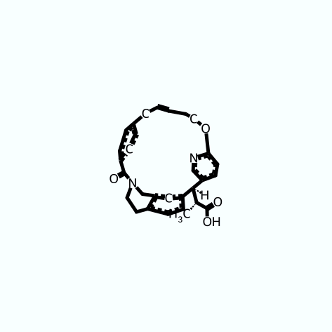 C[C@@H](C(=O)O)[C@@H]1c2ccc(nc2)OCC/C=C/Cc2ccc(cc2)C(=O)N2CCc3ccc1cc3C2